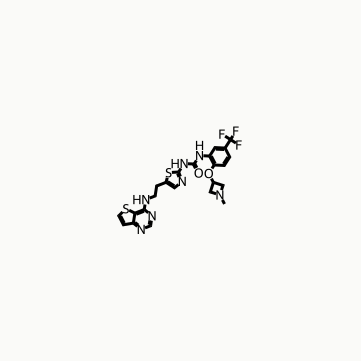 CN1CC(Oc2ccc(C(F)(F)F)cc2NC(=O)Nc2ncc(CCNc3ncnc4ccsc34)s2)C1